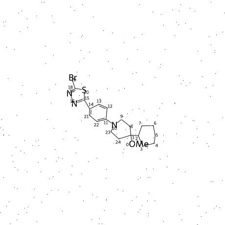 COC1(C2CCCCC2)CCN(c2ccc(-c3nnc(Br)s3)cc2)CC1